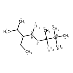 CCC(C(C)C)[SiH](C)OC(C)(C)[Si](C)(C)C